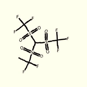 CC(F)(F)S(=O)(=O)C(S(=O)(=O)C(F)(F)F)S(=O)(=O)C(F)(F)F